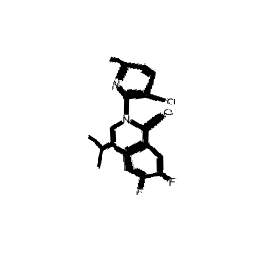 Cc1ccc(Cl)c(-n2cc(C(C)C)c3cc(F)c(F)cc3c2=O)n1